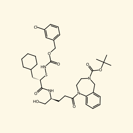 CC(C)(C)OC(=O)N1CCN(C(=O)CC[C@@H](CO)NC(=O)[C@H](CC2CCCCC2)SNC(=O)OCc2cccc(Cl)c2)c2ccccc2C1